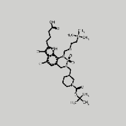 CC(C)(C)OC(=O)N1CCCC(CN2Cc3cc(Cl)c4c(Cl)c(CCCC(=O)O)[nH]c4c3N(COCC[Si](C)(C)C)S2(=O)=O)C1